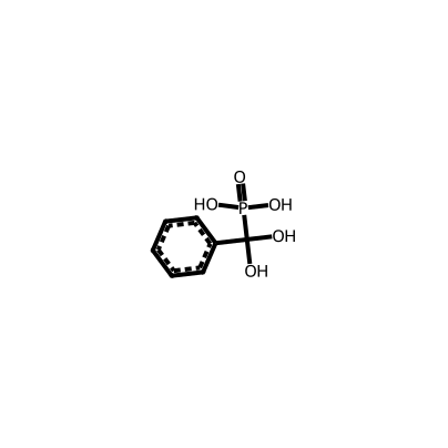 O=P(O)(O)C(O)(O)c1ccccc1